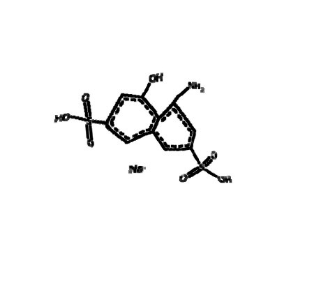 Nc1cc(S(=O)(=O)O)cc2cc(S(=O)(=O)O)cc(O)c12.[Na]